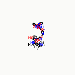 Cc1cnn(C)c1-c1ccc([C@H](C)NC(=O)[C@@H]2C[C@@H](O)CN2C(=O)[C@@H](c2cc(OCCN3CCC(O[C@H]4C[C@H](Oc5cc(N6C7CCC6CN(c6cc(-c8ccccc8O)nnc6N)C7)ccn5)C4)CC3)no2)C(C)C)cc1